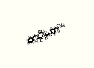 COC(=O)Cc1ccc(OCC(=O)N2C[C@H](C)N(Cc3ccc(F)cc3)C[C@H]2C)cc1